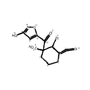 CCC1C(=C=O)CCCC1(C(=O)O)C(=O)c1cc(O)no1